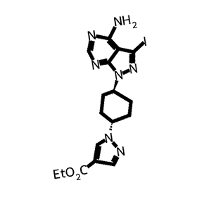 CCOC(=O)c1cnn([C@H]2CC[C@H](n3nc(I)c4c(N)ncnc43)CC2)c1